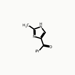 Cc1nc(C(=O)C(C)C)c[nH]1